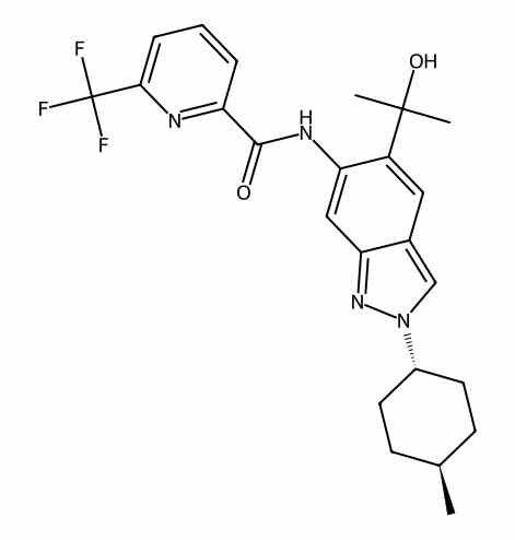 CC(C)(O)c1cc2cn([C@H]3CC[C@H](C)CC3)nc2cc1NC(=O)c1cccc(C(F)(F)F)n1